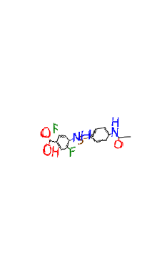 CC(=O)Nc1ccc(SNc2cc(F)c(C(=O)O)cc2F)cc1